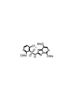 COc1nccc(C(F)(F)F)c1S(=O)(=O)Nc1nc2c(OC)cnc(OC)n2n1